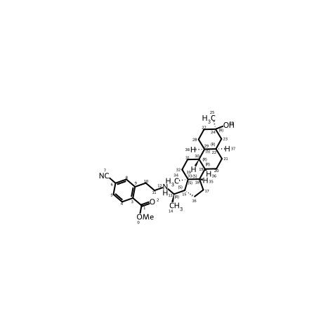 COC(=O)c1ccc(C#N)cc1CCN[C@H](C)[C@H]1CC[C@H]2[C@@H]3CC[C@@H]4C[C@](C)(O)CC[C@@H]4[C@H]3CC[C@]12C